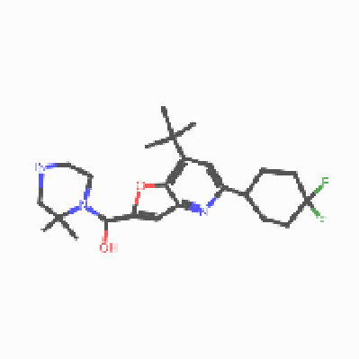 CC(C)(C)c1cc(C2CCC(F)(F)CC2)nc2cc(C(O)N3CCNCC3(C)C)oc12